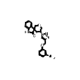 Nc1cccc(OCc2cn(C3COCC4(C3)C(=O)Nc3ccccc34)nn2)c1